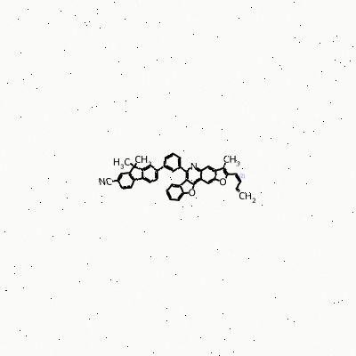 C=C/C=C\c1oc2cc3c(cc2c1C)nc(-c1cccc(-c2ccc4c(c2)C(C)(C)c2cc(C#N)ccc2-4)c1)c1c2ccccc2oc31